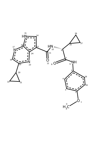 COc1ccc(NC(=O)[C@H](NC(=O)c2c[nH]c3ncc(C4CC4)nc23)C2CC2)cc1